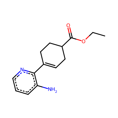 CCOC(=O)C1CC=C(c2ncccc2N)CC1